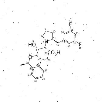 C[C@@H](OC[C@H](O)CN1CCC[C@H]1Cc1cc(F)cc(F)c1)c1ccccc1CCC(=O)O